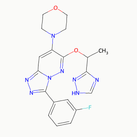 CC(Oc1nn2c(-c3cccc(F)c3)nnc2cc1N1CCOCC1)c1nc[nH]n1